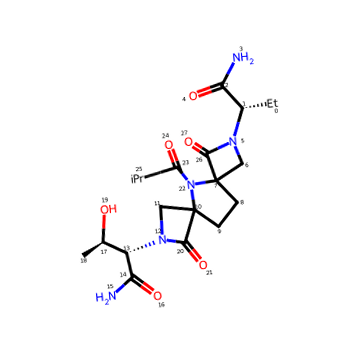 CC[C@@H](C(N)=O)N1CC2(CCC3(CN([C@H](C(N)=O)[C@@H](C)O)C3=O)N2C(=O)C(C)C)C1=O